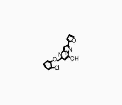 Oc1cc(COc2ccccc2Cl)nc2cc(-c3ccco3)nn12